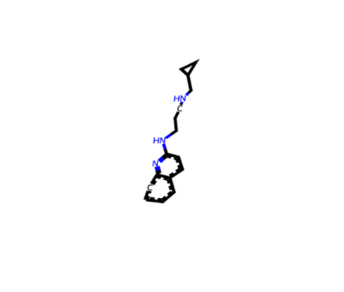 c1ccc2nc(NCCCNCC3CC3)ccc2c1